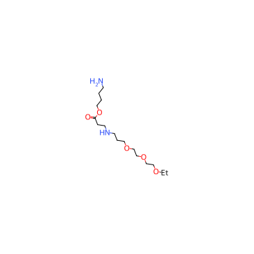 CCOCCOCCOCCCNCCC(=O)OCCCCN